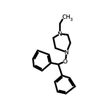 CCN1CCN(OC(c2ccccc2)c2ccccc2)CC1